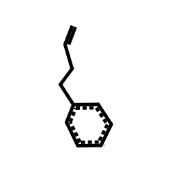 C=CCCc1cc[c]cc1